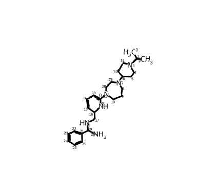 CC(C)N1CCC(N2CCCN(C3=CC=CC(CNC(N)c4ccccc4)N3)CC2)CC1